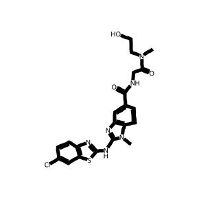 CN(CCO)C(=O)CNC(=O)c1ccc2c(c1)nc(Nc1nc3ccc(Cl)cc3s1)n2C